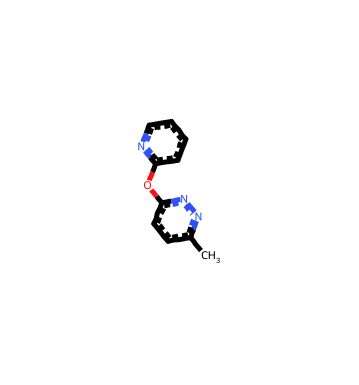 Cc1ccc(Oc2ccccn2)nn1